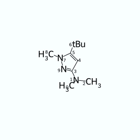 CN(C)c1cc(C(C)(C)C)n(C)n1